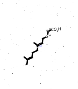 CC(C)=CCC/C(C)=C/CSCC(=O)O